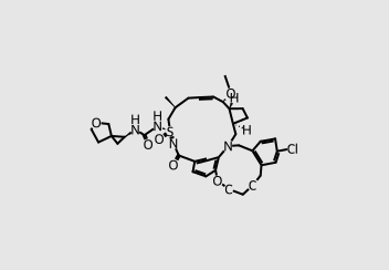 CO[C@H]1/C=C/C[C@H](C)C[S@@](=O)(NC(=O)N[C@H]2CC23CCOC3)=NC(=O)c2ccc3c(c2)N(Cc2ccc(Cl)cc2CCCCO3)C[C@@H]2CC[C@H]21